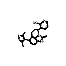 Cc1noc(C)c1-c1ccc2[nH]c(=O)n3c2c1CCC3c1cccnc1C#N